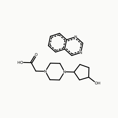 O=C(O)CN1CCN(C2CCC(O)C2)CC1.c1ccc2ncncc2c1